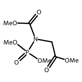 COC(=O)CN(C(=O)OC)P(=O)(OC)OC